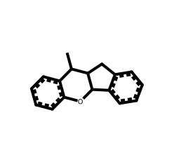 CC1c2ccccc2OC2c3ccccc3CC12